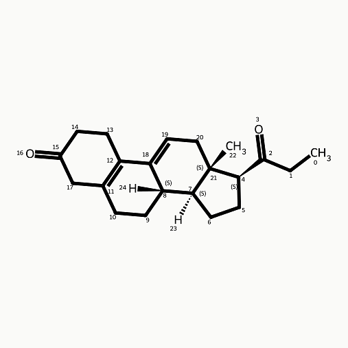 CCC(=O)[C@H]1CC[C@H]2[C@@H]3CCC4=C(CCC(=O)C4)C3=CC[C@]12C